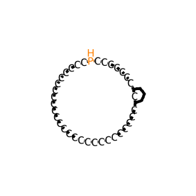 C1CCCCCCCCCCCCCC2CCCC(CCCCCCCPCCCCCCCCCCCC1)C2